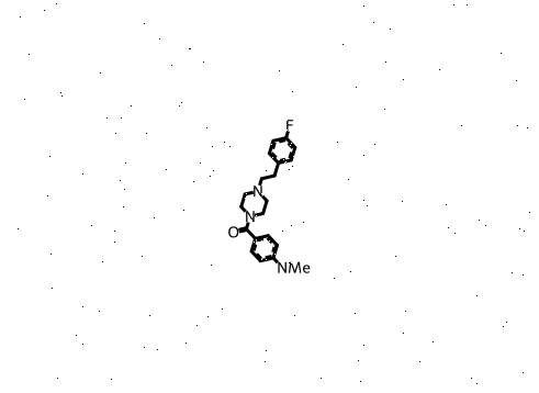 CNc1ccc(C(=O)N2CCN(CCc3ccc(F)cc3)CC2)cc1